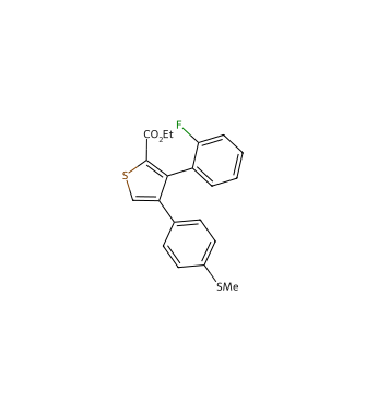 CCOC(=O)c1scc(-c2ccc(SC)cc2)c1-c1ccccc1F